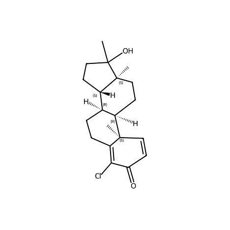 CC1(O)CC[C@H]2[C@@H]3CCC4=C(Cl)C(=O)C=C[C@]4(C)[C@@H]3CC[C@@]21C